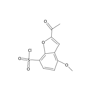 COc1ccc(S(=O)(=O)Cl)c2oc(C(C)=O)cc12